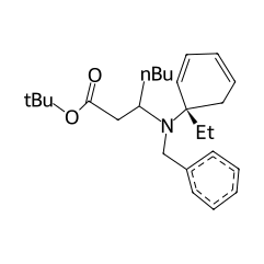 CCCCC(CC(=O)OC(C)(C)C)N(Cc1ccccc1)[C@]1(CC)C=CC=CC1